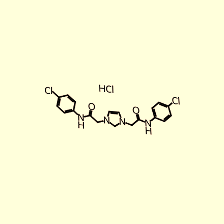 Cl.O=C(CN1C=CN(CC(=O)Nc2ccc(Cl)cc2)C1)Nc1ccc(Cl)cc1